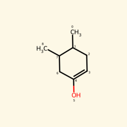 CC1CC=C(O)CC1C